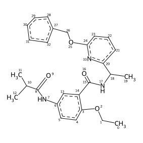 CCOc1ccc(NC(=O)C(C)C)cc1C(=O)NC(C)c1cccc(OCc2ccccc2)n1